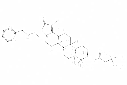 CC(C)C1=C2[C@@](CCNCc3ncccn3)(CC[C@]3(C)[C@]2(C)CC[C@@H]2[C@@]4(C)CC[C@H](OC(=O)CC(C)(C)C(=O)O)C(C)(C)[C@@H]4CC[C@]23C)CC1=O